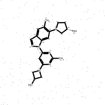 Cc1nc(N2CC(O)C2)cc(-n2ncc3cc(C)c(N4CC[C@H](O)C4)cc32)n1